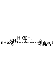 CCCCCCCC(CCCCC)C(=O)OCCCCCCCCCCN(CCCCCCCCCOC(=O)C(C)CCCCCC)CCN(C)C